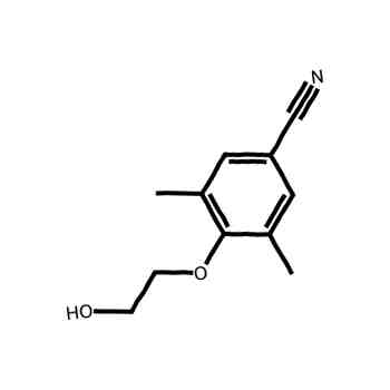 Cc1cc(C#N)cc(C)c1OCCO